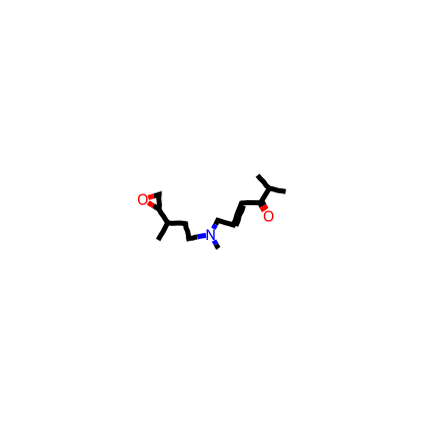 CC(C)C(=O)/C=C/CN(C)CCC(C)C1CO1